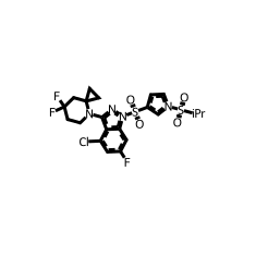 CC(C)S(=O)(=O)n1ccc(S(=O)(=O)n2nc(N3CCC(F)(F)CC34CC4)c3c(Cl)cc(F)cc32)c1